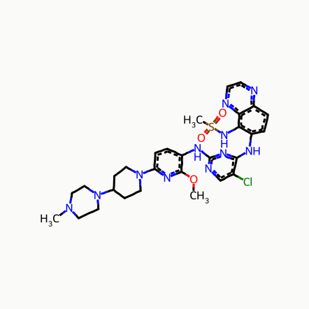 COc1nc(N2CCC(N3CCN(C)CC3)CC2)ccc1Nc1ncc(Cl)c(Nc2ccc3nccnc3c2NS(C)(=O)=O)n1